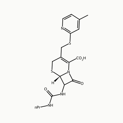 CCCNC(=O)NC1C(=O)N2C(C(=O)O)=C(CSc3cc(C)ccn3)CS[C@@H]12